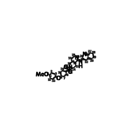 COc1ccc(Oc2ccc(S(=O)(=O)N3CCc4c(ccnc4Nc4cnc5ccccc5c4)C3)cc2)cc1